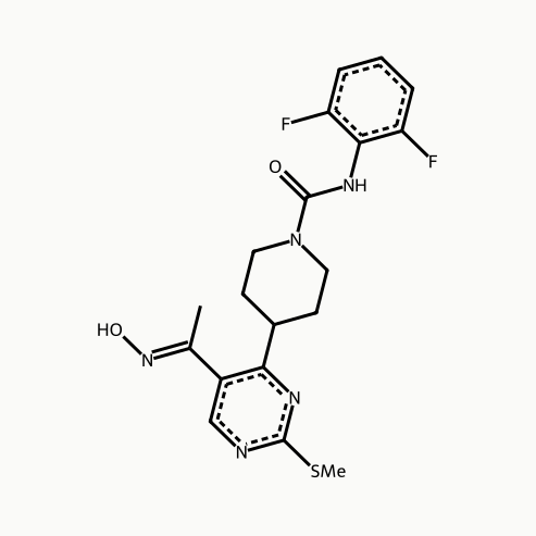 CSc1ncc(C(C)=NO)c(C2CCN(C(=O)Nc3c(F)cccc3F)CC2)n1